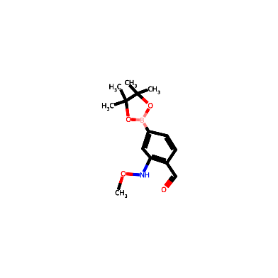 CONc1cc(B2OC(C)(C)C(C)(C)O2)ccc1C=O